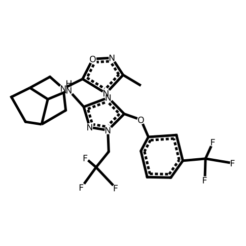 Cc1noc(N2CC3CCC(C2)C3Nc2nc(Oc3cccc(C(F)(F)F)c3)n(CC(F)(F)F)n2)n1